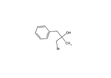 CC(O)(CBr)Cc1ccccc1